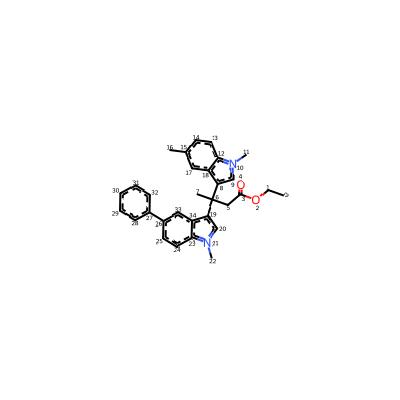 CCOC(=O)CC(C)(c1cn(C)c2ccc(C)cc12)c1cn(C)c2ccc(-c3ccccc3)cc12